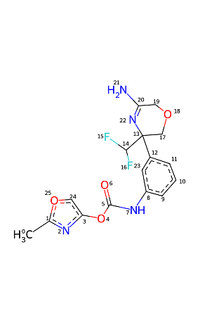 Cc1nc(OC(=O)Nc2cccc(C3(C(F)F)COCC(N)=N3)c2)co1